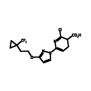 O=C(O)C1CC=C(n2ccc(OCCC3(C(F)(F)F)CC3)n2)N=C1Cl